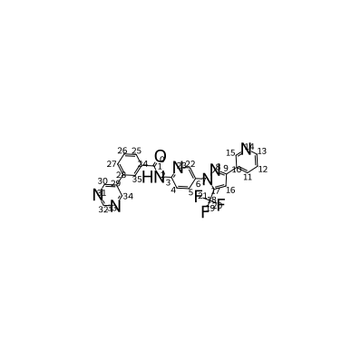 O=C(Nc1ccc(-n2nc(-c3cccnc3)cc2C(F)(F)F)cn1)c1cccc(-c2cncnc2)c1